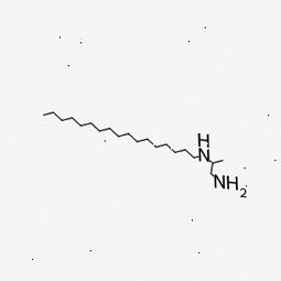 CCCCCCCCCCCCCCCCCNC(C)CN